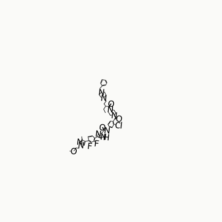 CCC(CCN1CCN(Cc2ccccc2)CC1)C(=O)N1CCN(C(=O)c2ccc(NC(=O)c3ncc(-c4ccc(-c5cn(CCOC)nc5C)c(F)c4F)n3C)cc2Cl)CC1